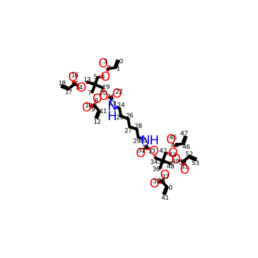 C=CC(=O)OCC(COC(=O)C=C)(COC(=O)C=C)COC(=O)NCCCCCCNC(=O)OCC(COC(=O)C=C)(COC(=O)C=C)COC(=O)C=C